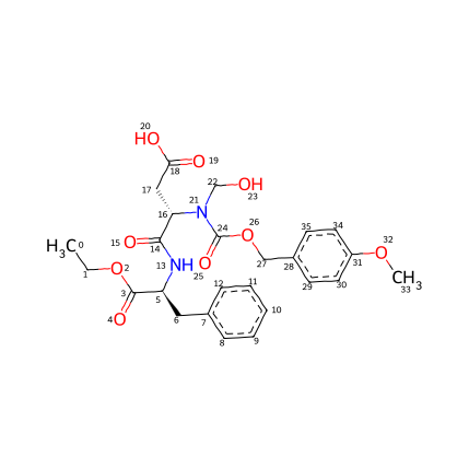 CCOC(=O)[C@H](Cc1ccccc1)NC(=O)[C@H](CC(=O)O)N(CO)C(=O)OCc1ccc(OC)cc1